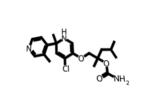 Cc1cnccc1C1(C)C=C(Cl)C(OCC(C)(CC(C)C)OC(N)=O)=CN1